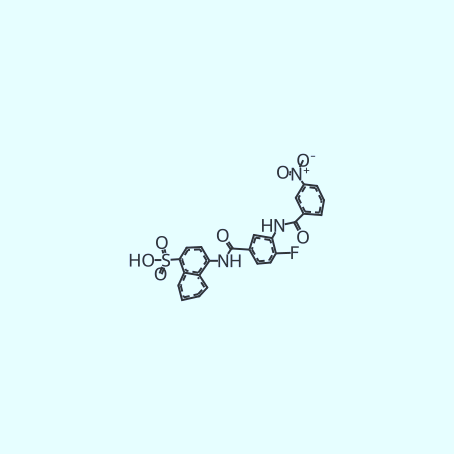 O=C(Nc1cc(C(=O)Nc2ccc(S(=O)(=O)O)c3ccccc23)ccc1F)c1cccc([N+](=O)[O-])c1